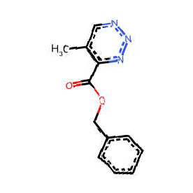 Cc1cnnnc1C(=O)OCc1ccccc1